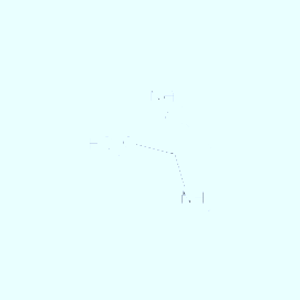 CC(C)=O.N.NCC(=O)O